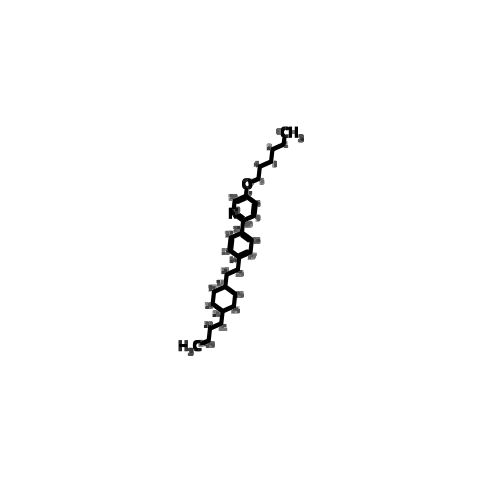 CCCCCCOc1ccc(-c2ccc(CCC3CCC(CCCC)CC3)cc2)nc1